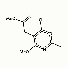 COC(=O)Cc1c(Cl)nc(C)nc1OC